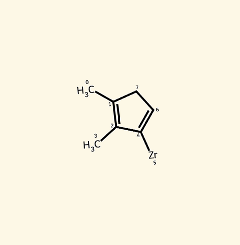 CC1=C(C)[C]([Zr])=CC1